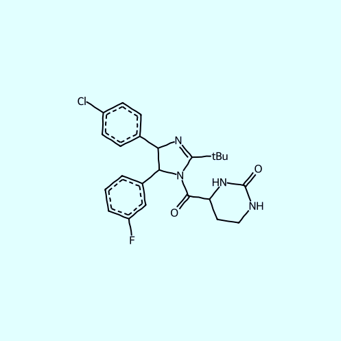 CC(C)(C)C1=NC(c2ccc(Cl)cc2)C(c2cccc(F)c2)N1C(=O)C1CCNC(=O)N1